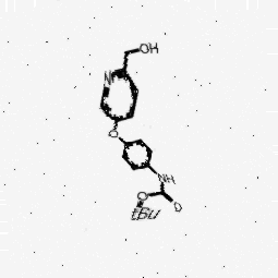 CC(C)(C)OC(=O)Nc1ccc(Oc2ccc(CO)nc2)cc1